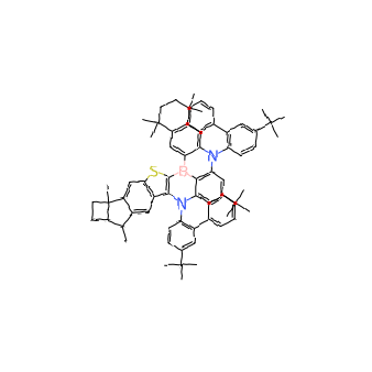 CC1c2cc3c4c(sc3cc2C2(C)CCC12)B1c2cc3c(cc2N(c2ccc(C(C)(C)C)cc2-c2ccccc2)c2cc(C(C)(C)C)cc(c21)N4c1ccc(C(C)(C)C)cc1-c1ccccc1)C(C)(C)CCC3(C)C